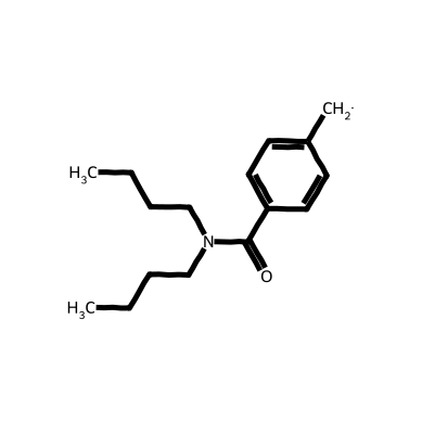 [CH2]c1ccc(C(=O)N(CCCC)CCCC)cc1